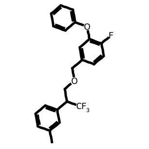 Cc1cccc(C(COCc2ccc(F)c(Oc3ccccc3)c2)C(F)(F)F)c1